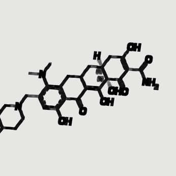 CC(C)C1CCN(Cc2cc(O)c3c(c2N(C)C)CC2C[C@H]4CC(O)=C(C(N)=O)C(=O)[C@@]4(O)C(O)=C2C3=O)CC1